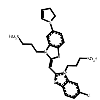 O=S(=O)(O)CCCN1/C(=C/c2sc3ccc(Cl)cc3[n+]2CCCS(=O)(=O)O)Sc2ccc(N3C=CCC3)cc21